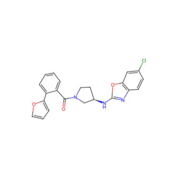 O=C(c1ccccc1-c1ccco1)N1CC[C@@H](Nc2nc3ccc(Cl)cc3o2)C1